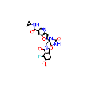 COc1ccc2c(c1F)C(=O)N(C[C@@]1(c3cc4ncc(C(=O)NC5CC5)cc4o3)NC(=O)NC1=O)C2